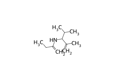 C=C(CC)NC(C(=C)C)C(C)C